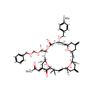 C=C1C[C@@H]2C[C@@H]3CC(=C)C[C@H](/C=C/C(C)(C)[C@]4(OC)O[C@@H](C/C(=C\C(=O)OC)C4=O)C[C@H]([C@@H](C)OCOCc4ccccc4)OC(=O)C[C@H](OCc4ccc(OC)cc4)C[C@H](C1)O2)O3